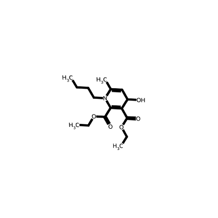 CCCCN1C(C)=CC(O)C(C(=O)OCC)=C1C(=O)OCC